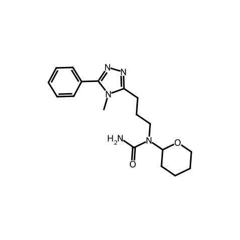 Cn1c(CCCN(C(N)=O)C2CCCCO2)nnc1-c1ccccc1